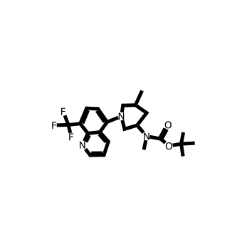 CC1CC(N(C)C(=O)OC(C)(C)C)CN(c2ccc(C(F)(F)F)c3ncccc23)C1